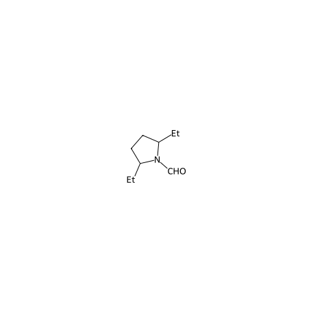 CCC1CCC(CC)N1C=O